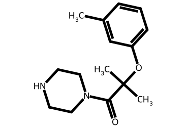 Cc1cccc(OC(C)(C)C(=O)N2CCNCC2)c1